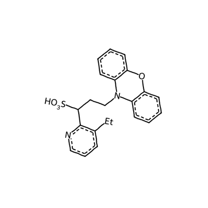 CCc1cccnc1C(CCN1c2ccccc2Oc2ccccc21)S(=O)(=O)O